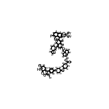 CCc1c(F)ccc2cc(O[Si](C(C)C)(C(C)C)C(C)C)cc(-c3ncc4c(N5CCC[C@]6(CCO6)C5)nc(OC[C@@]56CCCN5[C@H](COC(=O)N5CCC(OC7CCN(c8ccc9c(c8)n(C)c(=O)n9C8CCC(=O)NC8=O)CC7)CC5)CC6)nc4c3F)c12